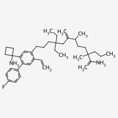 C=Cc1cc(-c2ccc(F)cc2)c(C2(N)CCC2)cc1CCCC(CC)(CC)CC(=C)C(C)CCC(C)(CCC)C(=C)N